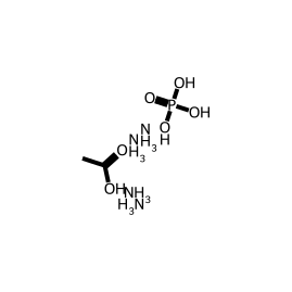 CC(=O)O.N.N.N.N.O=P(O)(O)O